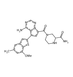 COc1cc(C)cc2cc(-c3cc(C(=O)N4CCNC(C(N)=O)C4)n4ncnc(N)c34)sc12